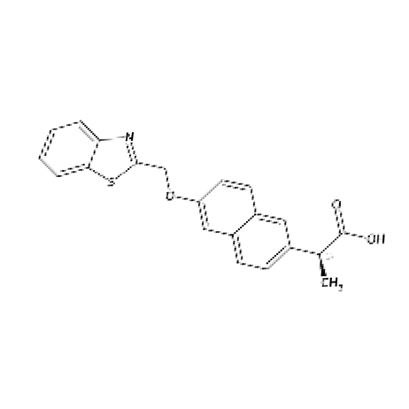 C[C@H](C(=O)O)c1ccc2cc(OCc3nc4ccccc4s3)ccc2c1